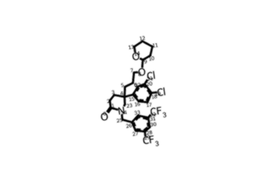 O=C1CCC(CCCOC2CCCCO2)(c2ccc(Cl)c(Cl)c2)CN1Cc1cc(C(F)(F)F)cc(C(F)(F)F)c1